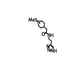 CSN1CCC(CC(=O)NCCc2c[nH]nn2)CC1